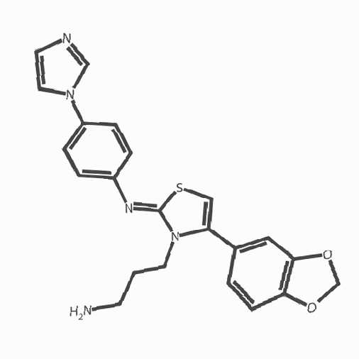 NCCCn1c(-c2ccc3c(c2)OCO3)cs/c1=N\c1ccc(-n2ccnc2)cc1